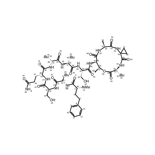 CC[C@H](C)[C@H](NC(=O)[C@@H](CCc1ccccc1)NC)C(=O)N[C@@H](CO)C(=O)N[C@H](CCC(N)=O)C(=O)N[C@@H](C(=O)N[C@H](C(=O)N[C@@H](CO)C(=O)N[C@H]1C(=O)N[C@@H](C)C(=O)NC2(CC2)C(=O)N[C@@H]([C@@H](C)CC)C(=O)O[C@H]1C)[C@@H](C)CC)[C@@H](C)CC